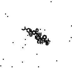 CCC(C)C1CCN2c3cc(OC)c(Nc4ncc(Cl)c(Nc5ccccc5N(C)[S+]([O-])C(C)C)n4)cc3OCC2C1